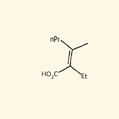 CCC/C(C)=C(/CC)C(=O)O